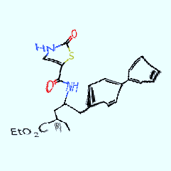 CCOC(=O)[C@H](C)CC(Cc1ccc(-c2ccccc2)cc1)NC(=O)c1c[nH]c(=O)s1